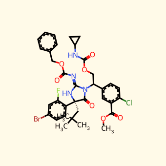 COC(=O)c1cc(C(COC(=O)NC2CC2)N2C(=O)[C@@](CC(C)(C)C)(c3ccc(Br)cc3F)NC2=NC(=O)OCc2ccccc2)ccc1Cl